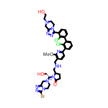 COc1nc(-c2cccc(-c3cccc(-c4nnc5n4CCN(CCO)C5)c3Cl)c2Cl)ccc1CNCC1CCC(=O)N1[C@@H](CO)N1CCn2c(Br)nnc2C1